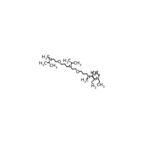 CCN(CC)[C@H](C)[C@H](C)N(C)CCCOCCN(CCCOCCN(C)C(C)C)C(C)C